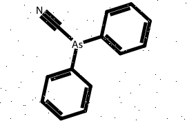 N#C[As](c1ccccc1)c1ccccc1